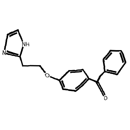 O=C(c1ccccc1)c1ccc(OCCc2ncc[nH]2)cc1